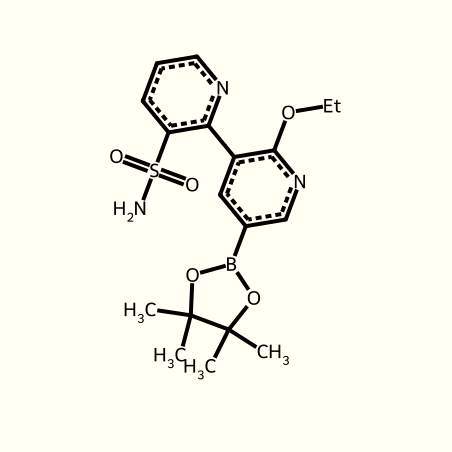 CCOc1ncc(B2OC(C)(C)C(C)(C)O2)cc1-c1ncccc1S(N)(=O)=O